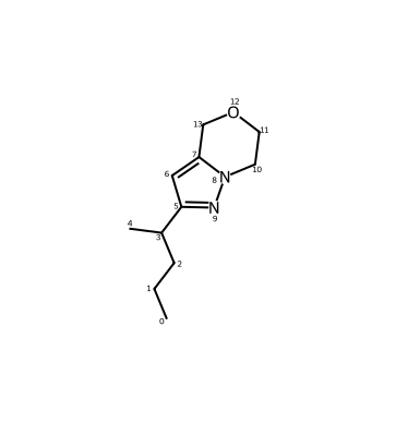 CCCC(C)c1cc2n(n1)CCOC2